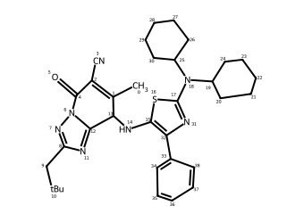 CC1=C(C#N)C(=O)n2nc(CC(C)(C)C)nc2C1Nc1sc(N(C2CCCCC2)C2CCCCC2)nc1-c1ccccc1